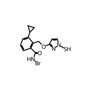 O=C(NBr)c1cccc(C2CC2)c1COc1ccn(S)n1